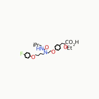 CCOC(Cc1ccc(OCCN(CCCCOc2ccc(F)cc2)C(=O)NCC(C)C)cc1)C(=O)O